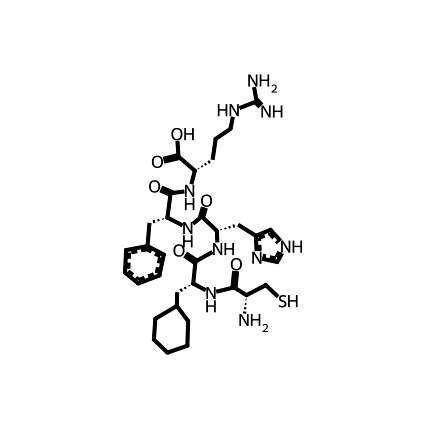 N=C(N)NCCC[C@H](NC(=O)[C@@H](Cc1ccccc1)NC(=O)[C@H](Cc1c[nH]cn1)NC(=O)[C@@H](CC1CCCCC1)NC(=O)[C@@H](N)CS)C(=O)O